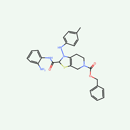 Cc1ccc(NN2C3=C(CN(C(=O)OCc4ccccc4)CC3)SC2C(=O)Nc2ccccc2N)cc1